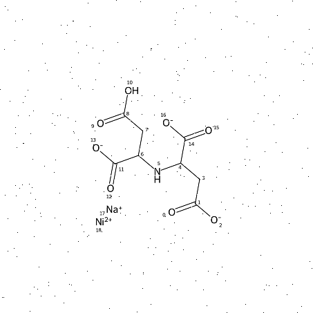 O=C([O-])CC(NC(CC(=O)O)C(=O)[O-])C(=O)[O-].[Na+].[Ni+2]